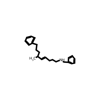 CC(/C=C/CCCNCc1ccccc1)CCCc1ccccc1